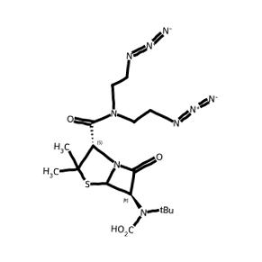 CC1(C)SC2[C@H](N(C(=O)O)C(C)(C)C)C(=O)N2[C@H]1C(=O)N(CCN=[N+]=[N-])CCN=[N+]=[N-]